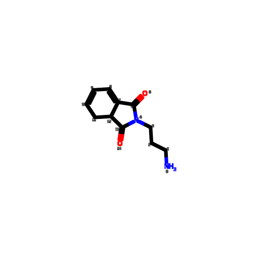 NCCCN1C(=O)C2=CC=CCC2C1=O